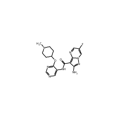 CN1CCC(Oc2ncncc2NC(=O)c2c(N)nn3cc(F)cnc23)CC1